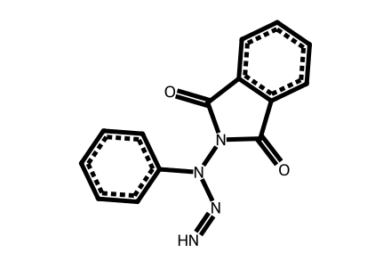 N=NN(c1ccccc1)N1C(=O)c2ccccc2C1=O